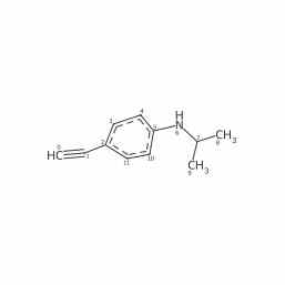 C#Cc1ccc(NC(C)C)cc1